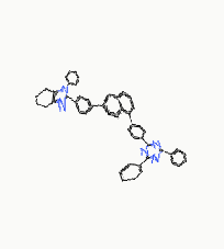 C1=CC(c2nc(-c3ccccc3)nc(-c3ccc(-c4cccc5cc(-c6ccc(-c7nc8c(n7-c7ccccc7)CCCC8)cc6)ccc45)cc3)n2)=CCC1